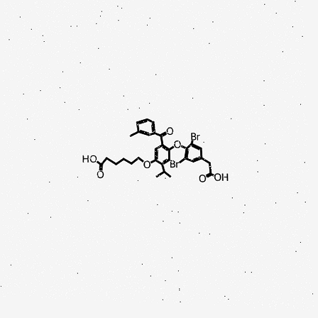 Cc1cccc(C(=O)c2cc(OCCCCCC(=O)O)c(C(C)C)cc2Oc2c(Br)cc(CC(=O)O)cc2Br)c1